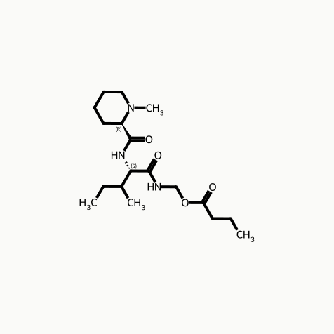 CCCC(=O)OCNC(=O)[C@@H](NC(=O)[C@H]1CCCCN1C)C(C)CC